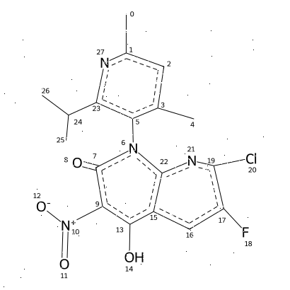 Cc1cc(C)c(-n2c(=O)c([N+](=O)[O-])c(O)c3cc(F)c(Cl)nc32)c(C(C)C)n1